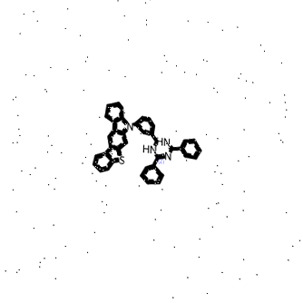 N=C(/N=C(\NCc1cccc(-n2c3ccccc3c3cc4c(cc32)sc2ccccc24)c1)c1ccccc1)c1ccccc1